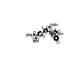 COC(=O)[C@H](C)NP(=O)(OC[C@H]1S[C@@H](n2ccc(N(C(=O)OC(C)(C)C)C(=O)OC(C)(C)C)nc2=O)[C@@H](F)[C@@H]1OC(=O)OC(C)(C)C)Oc1ccc(Cl)cc1